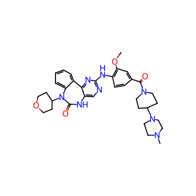 COc1cc(C(=O)N2CCC(N3CCN(C)CC3)CC2)ccc1Nc1ncc2c(n1)-c1ccccc1N(C1CCOCC1)C(=O)N2